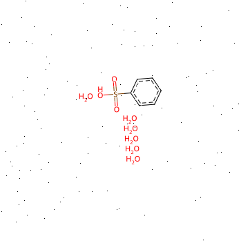 O.O.O.O.O.O.O=S(=O)(O)c1ccccc1